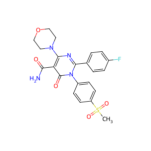 CS(=O)(=O)c1ccc(-n2c(-c3ccc(F)cc3)nc(N3CCOCC3)c(C(N)=O)c2=O)cc1